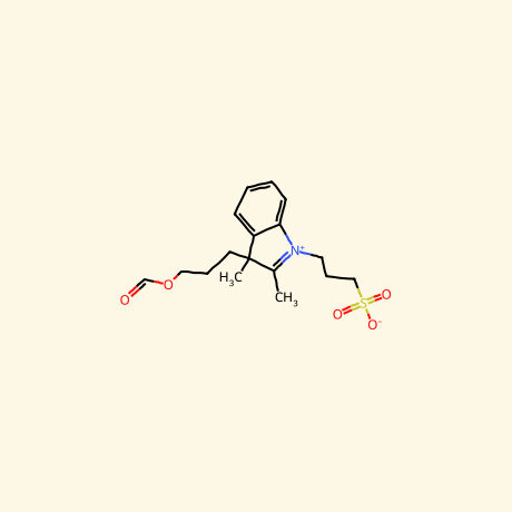 CC1=[N+](CCCS(=O)(=O)[O-])c2ccccc2C1(C)CCCOC=O